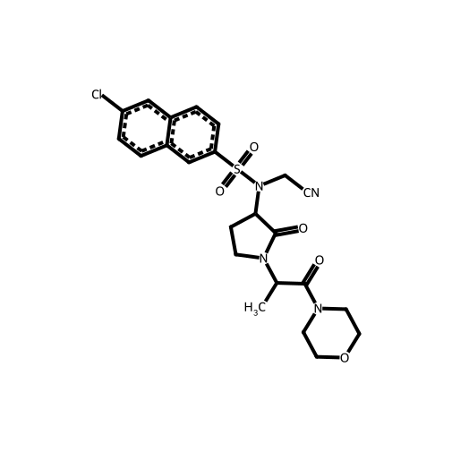 CC(C(=O)N1CCOCC1)N1CCC(N(CC#N)S(=O)(=O)c2ccc3cc(Cl)ccc3c2)C1=O